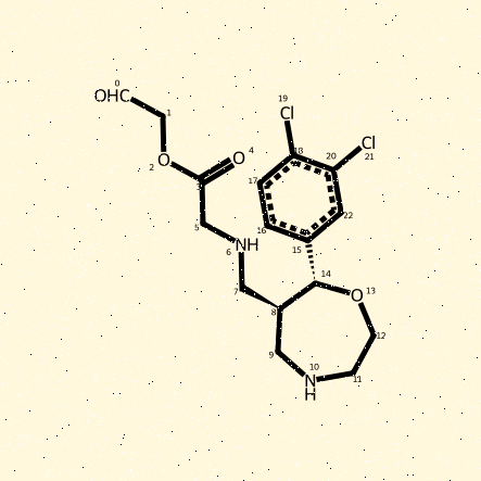 O=CCOC(=O)CNC[C@@H]1CNCCO[C@H]1c1ccc(Cl)c(Cl)c1